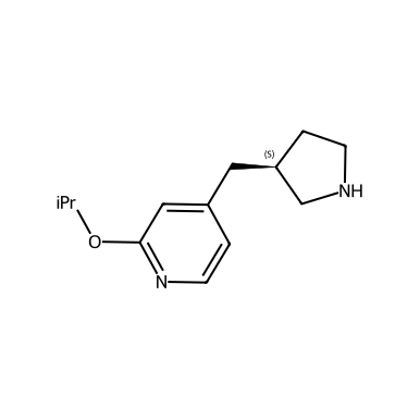 CC(C)Oc1cc(C[C@H]2CCNC2)ccn1